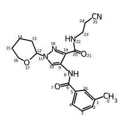 Cc1cccc(C(=O)Nc2cn(C3CCCCO3)nc2C(=O)NCCC#N)c1